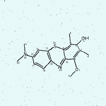 COC1=C(C)C(O)C(C)=C2Sc3cc(N(C)C)ccc3N=C12